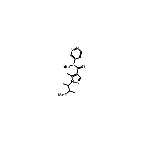 CCCCN(C(=O)c1cnn(C(C)C(C)SC)c1C)c1ccnnc1